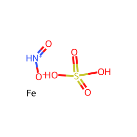 O=S(=O)(O)O.O=[NH+][O-].[Fe]